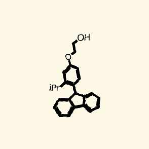 CC(C)c1cc(OCCO)ccc1C1c2ccccc2-c2ccccc21